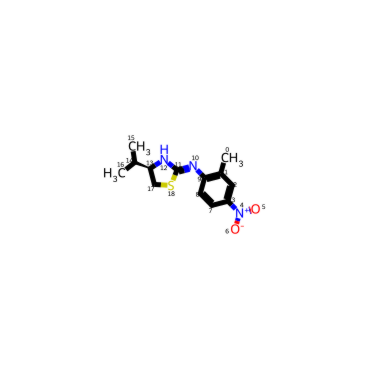 Cc1cc([N+](=O)[O-])ccc1/N=C1/N[C@H](C(C)C)CS1